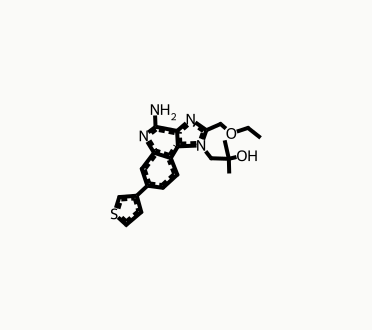 CCOCc1nc2c(N)nc3cc(-c4ccsc4)ccc3c2n1CC(C)(C)O